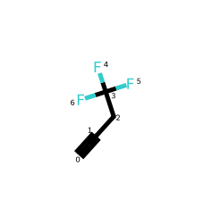 C#CCC(F)(F)F